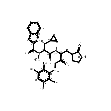 CN(C(=O)c1cc2ccccc2o1)C(CC1CC1)C(=O)NC(CC1CCNC1=O)C(=O)COc1c(F)c(F)cc(F)c1F